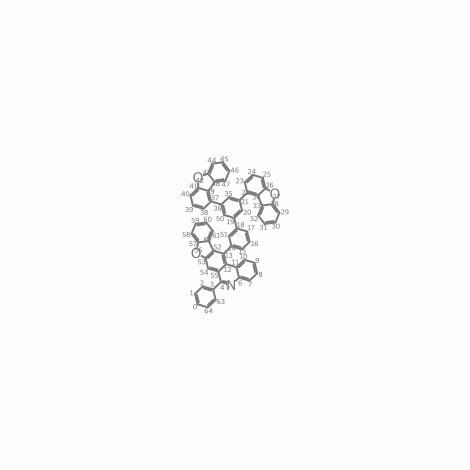 c1ccc(-c2nc3ccccc3c3c(-c4cccc(-c5cc(-c6cccc7oc8ccccc8c67)cc(-c6cccc7oc8ccccc8c67)c5)c4)c4c(cc23)oc2ccccc24)cc1